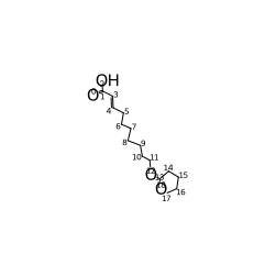 O=C(O)C=CCCCCCCCOC1CCCCO1